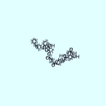 O=C(COc1cccc([C@](O)(C(=O)OCC2CCN(Cc3ccccc3)CC2)c2ccccc2)c1)N1CC(C(=O)N2CCC(CNC[C@H](O)c3ccc(O)c4[nH]c(=O)ccc34)CC2)C1